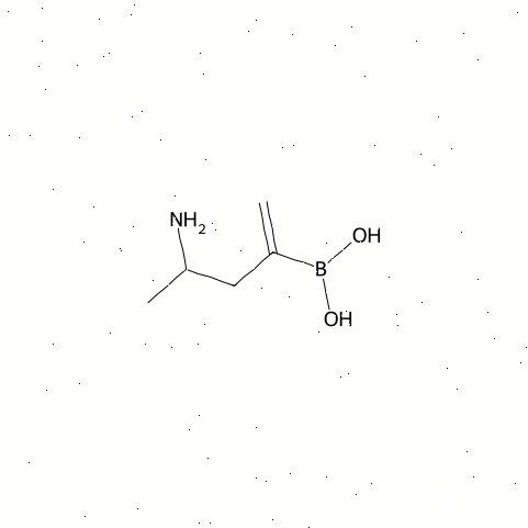 C=C(CC(C)N)B(O)O